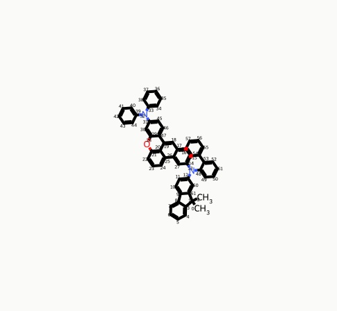 CC1(C)c2ccccc2-c2ccc(N(c3ccc4cc5c6c(cccc6c4c3)Oc3cc(N(c4ccccc4)c4ccccc4)ccc3-5)c3ccccc3-c3ccccc3)cc21